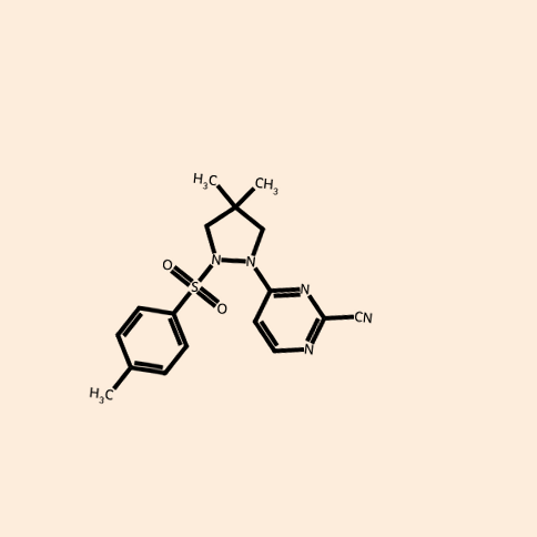 Cc1ccc(S(=O)(=O)N2CC(C)(C)CN2c2ccnc(C#N)n2)cc1